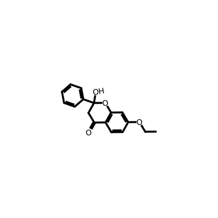 CCOc1ccc2c(c1)OC(O)(c1ccccc1)CC2=O